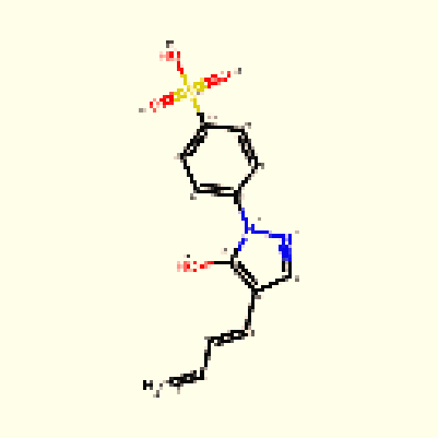 C=CC=Cc1cnn(-c2ccc(S(=O)(=O)O)cc2)c1O